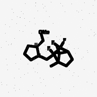 COC[C@@H]1CCCN1CC1(F)C(F)(F)C2CCC1(C)C2(C)C